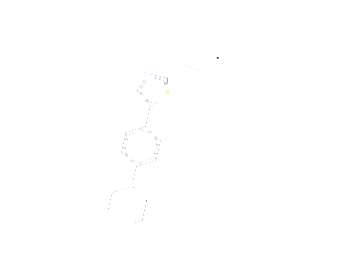 FC(F)(F)CCc1ncc(-c2ccc(N3CCSCC3)cc2)s1